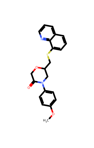 COc1ccc(N2CC(CSc3cccc4cccnc34)OCC2=O)cc1